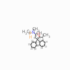 CCC(=O)C(CC(C)N(C)PC)(c1ccccc1)c1ccccc1